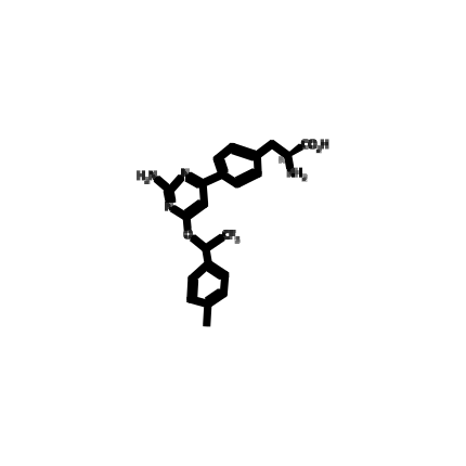 Cc1ccc(C(Oc2cc(-c3ccc(C[C@H](N)C(=O)O)cc3)nc(N)n2)C(F)(F)F)cc1